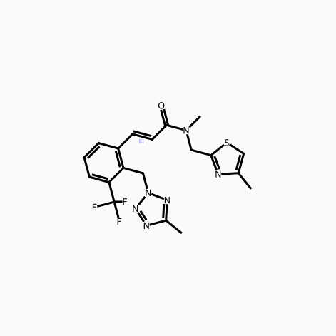 Cc1csc(CN(C)C(=O)/C=C/c2cccc(C(F)(F)F)c2Cn2nnc(C)n2)n1